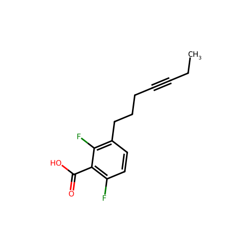 CCC#CCCCc1ccc(F)c(C(=O)O)c1F